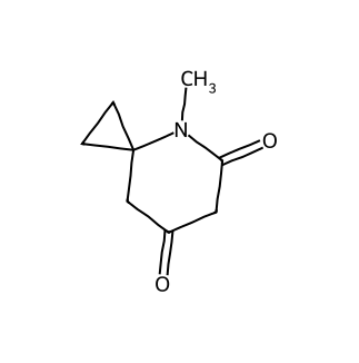 CN1C(=O)CC(=O)CC12CC2